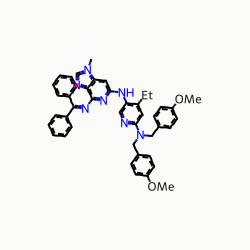 CCc1cc(N(Cc2ccc(OC)cc2)Cc2ccc(OC)cc2)ncc1Nc1cc2c(ncn2C)c(N=C(c2ccccc2)c2ccccc2)n1